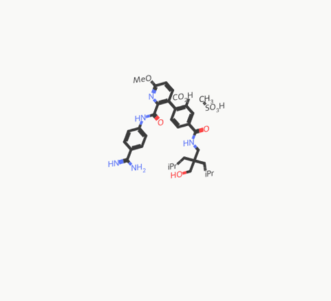 COc1ccc(-c2ccc(C(=O)NCC(CO)(CC(C)C)CC(C)C)cc2C(=O)O)c(C(=O)Nc2ccc(C(=N)N)cc2)n1.CS(=O)(=O)O